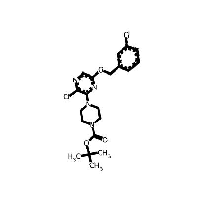 CC(C)(C)OC(=O)N1CCN(c2nc(OCc3cccc(Cl)c3)cnc2Cl)CC1